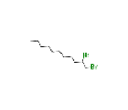 CCCCCCCCCC(Br)CBr